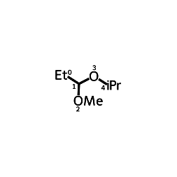 CCC(OC)OC(C)C